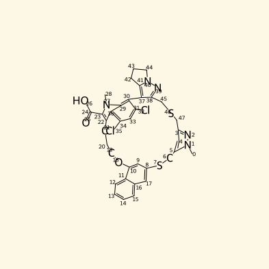 Cn1nc2cc1CSc1cc(c3ccccc3c1)OCCCc1c(C(=O)O)n(C)c3c(c(Cl)cc(Cl)c13)-c1c(nn3c1CCC3)CSC2